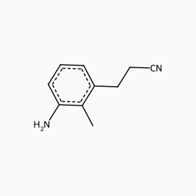 Cc1c(N)cccc1CCC#N